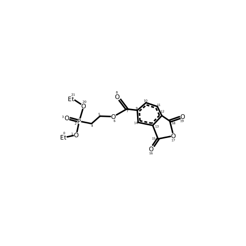 CCOP(=O)(CCOC(=O)c1ccc2c(c1)C(=O)OC2=O)OCC